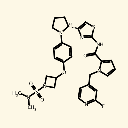 CN(C)S(=O)(=O)N1CC(Oc2ccc(N3CCC[C@@H]3c3csc(NC(=O)c4cccn4Cc4ccnc(F)c4)n3)cc2)C1